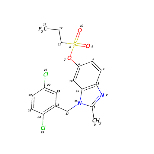 Cc1nc2ccc(OS(=O)(=O)CCC(F)(F)F)cc2n1Cc1cc(Cl)ccc1Cl